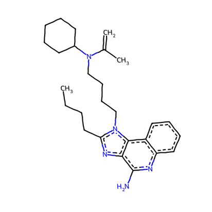 C=C(C)N(CCCCn1c(CCCC)nc2c(N)nc3ccccc3c21)C1CCCCC1